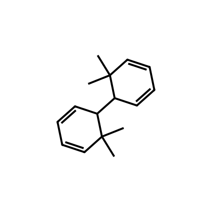 CC1(C)C=CC=CC1C1C=CC=CC1(C)C